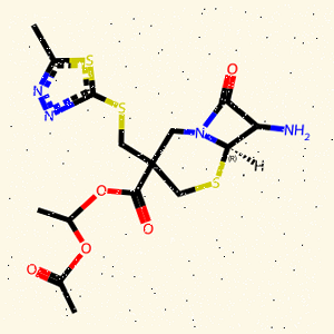 CC(=O)OC(C)OC(=O)C1(CSc2nnc(C)s2)CS[C@@H]2C(N)C(=O)N2C1